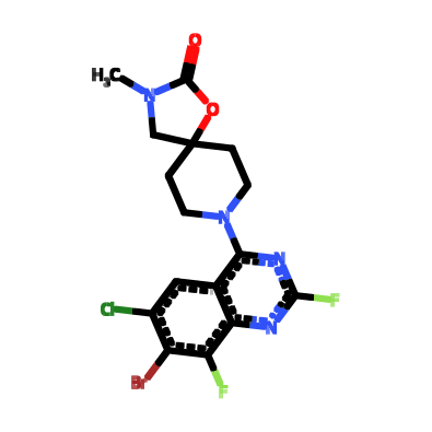 CN1CC2(CCN(c3nc(F)nc4c(F)c(Br)c(Cl)cc34)CC2)OC1=O